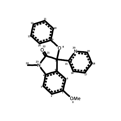 COc1ccc2c(c1)C(Oc1ccccc1)(c1ccccn1)C(=O)N2C